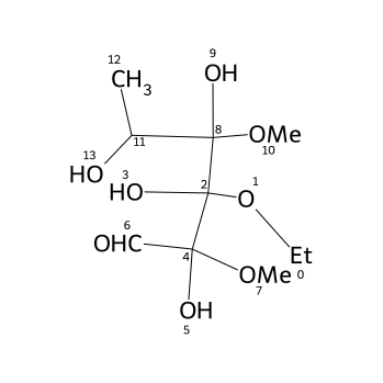 CCOC(O)(C(O)(C=O)OC)C(O)(OC)C(C)O